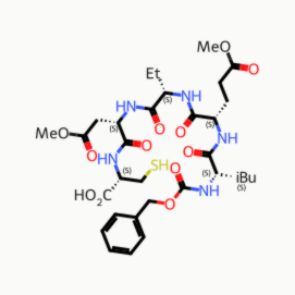 CC[C@H](NC(=O)[C@H](CCC(=O)OC)NC(=O)[C@@H](NC(=O)OCc1ccccc1)[C@@H](C)CC)C(=O)N[C@@H](CC(=O)OC)C(=O)N[C@H](CS)C(=O)O